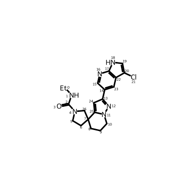 CCNC(=O)N1CCC2(CCCn3nc(-c4cnc5[nH]cc(Cl)c5c4)cc32)C1